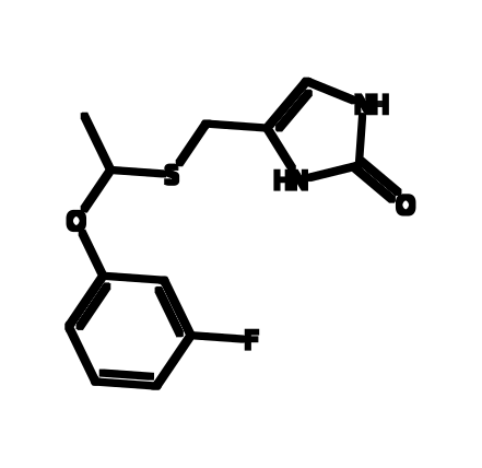 CC(Oc1cccc(F)c1)SCc1c[nH]c(=O)[nH]1